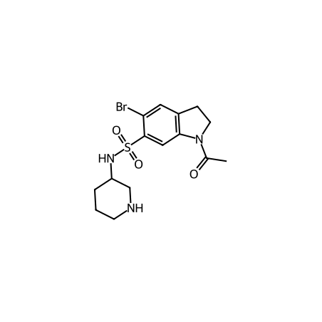 CC(=O)N1CCc2cc(Br)c(S(=O)(=O)NC3CCCNC3)cc21